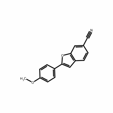 COc1ccc(-c2cc3ccc(C#N)cc3o2)cc1